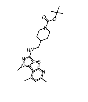 Cc1cc(C)c2c(n1)sc1c(NCC3CCN(C(=O)OC(C)(C)C)CC3)nn(C)c12